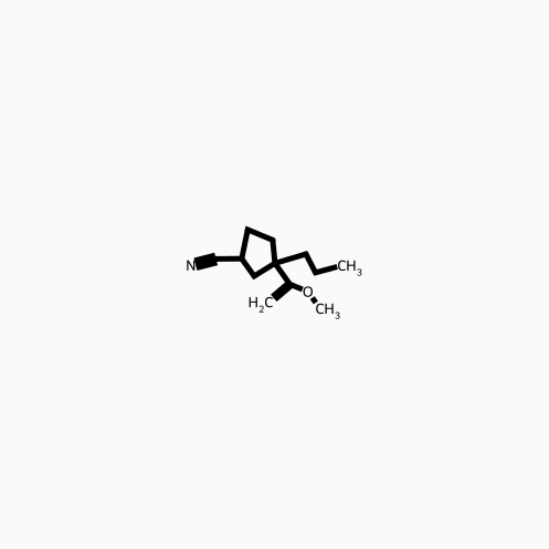 C=C(OC)C1(CCC)CCC(C#N)C1